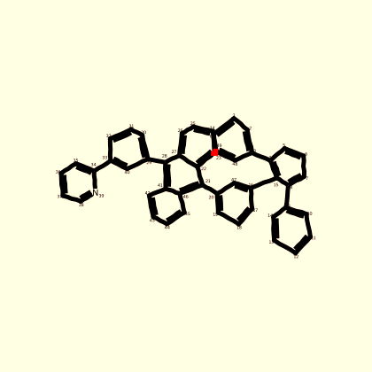 c1ccc(-c2cccc(-c3ccccc3)c2-c2cccc(-c3c4ccccc4c(-c4cccc(-c5ccccn5)c4)c4ccccc34)c2)cc1